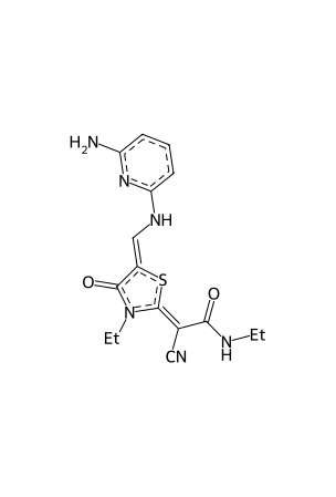 CCNC(=O)C(C#N)=c1sc(=CNc2cccc(N)n2)c(=O)n1CC